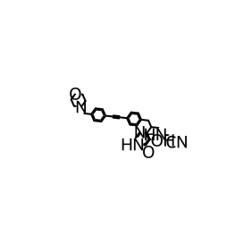 N#CCNCC(Cc1ccc(C#Cc2ccc(CN3CCOCC3)cc2)cc1)c1nc[nH]c(=O)c1O